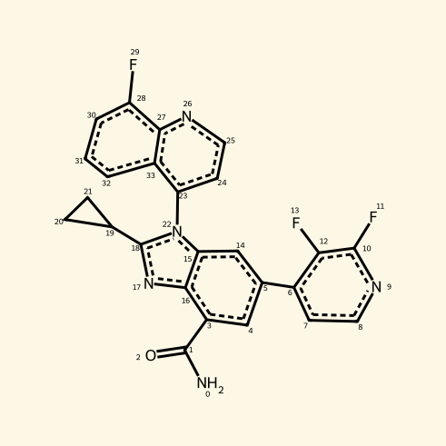 NC(=O)c1cc(-c2ccnc(F)c2F)cc2c1nc(C1CC1)n2-c1ccnc2c(F)cccc12